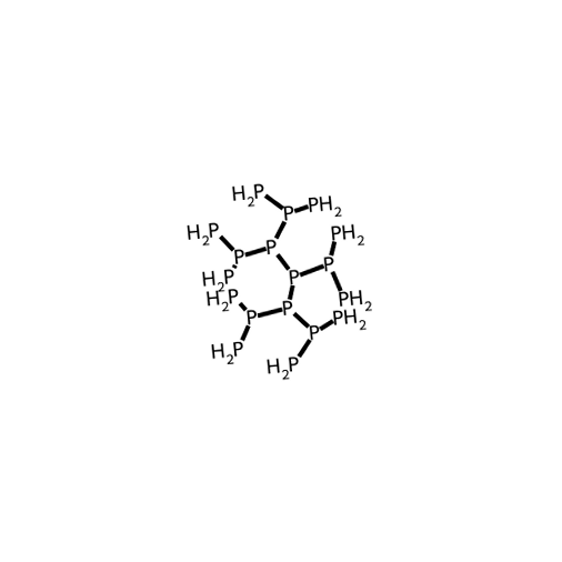 PP(P)P(P(P)P)P(P(P)P)P(P(P)P)P(P)P